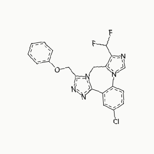 FC(F)c1ncn2c1Cn1c(COc3ccccc3)nnc1-c1cc(Cl)ccc1-2